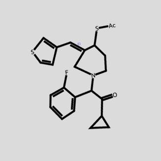 CC(=O)SC1CCN(C(C(=O)C2CC2)c2ccccc2F)C/C1=C\c1ccsc1